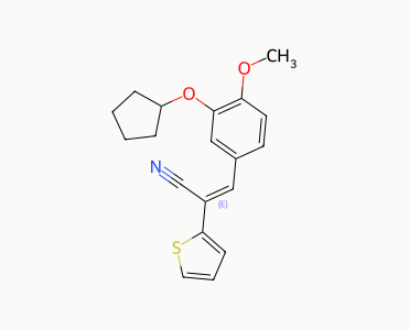 COc1ccc(/C=C(\C#N)c2cccs2)cc1OC1CCCC1